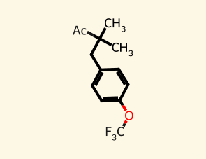 CC(=O)C(C)(C)Cc1ccc(OC(F)(F)F)cc1